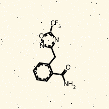 NC(=O)c1ccccc1Cc1noc(C(F)(F)F)n1